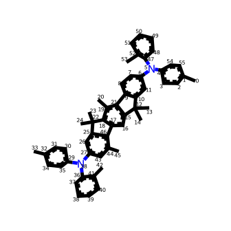 Cc1ccc(N(c2ccc3c(c2)C(C)(C)c2cc4c(c(C)c2-3)C(C)(C)c2cc(N(c3ccc(C)cc3)c3ccccc3C)cc(C)c2-4)c2ccccc2C)cc1